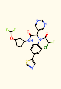 O=C(NC1CCC(OC(F)F)C1)C(c1cncnc1)N(C(=O)C(F)Cl)c1ccc(-c2cncs2)cc1